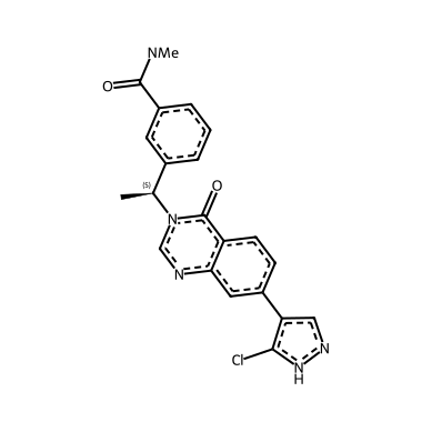 CNC(=O)c1cccc([C@H](C)n2cnc3cc(-c4cn[nH]c4Cl)ccc3c2=O)c1